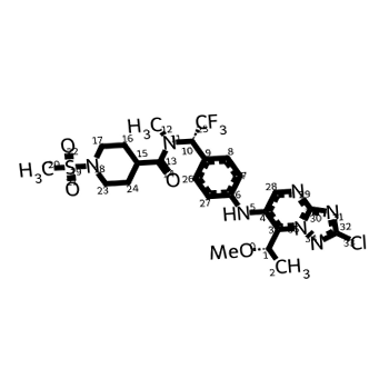 CO[C@@H](C)c1c(Nc2ccc([C@H](N(C)C(=O)C3CCN(S(C)(=O)=O)CC3)C(F)(F)F)cc2)cnc2nc(Cl)nn12